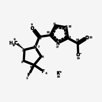 C[C@H]1CC(F)(F)CN1C(=O)c1csc(C(=O)[O-])n1.[K+]